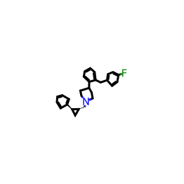 Fc1ccc(Cc2ccccc2C2CCN(C[C@@H]3C[C@H]3c3ccccc3)CC2)cc1